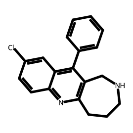 Clc1ccc2nc3c(c(-c4ccccc4)c2c1)CNCCC3